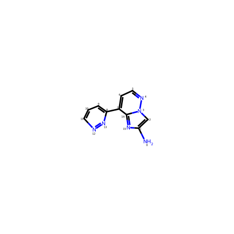 Nc1cn2nccc(-c3cccnn3)c2n1